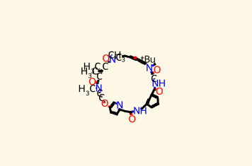 CN1CCOc2ccc(nc2)C(=O)NCc2cccc(c2)C(=O)NCC(=O)N(CC(C)(C)C)c2ccc(cc2)CCN(C)C(=O)CC(C)(C)CC1=O